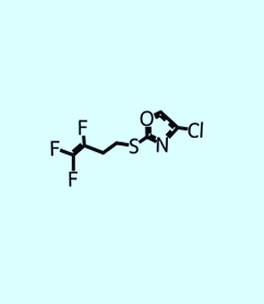 FC(F)=C(F)CCSc1nc(Cl)co1